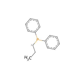 CC[C]P(c1ccccc1)c1ccccc1